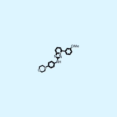 COc1cccc(-c2cccc3nc(Nc4ccc(N5CCOCC5)cc4)nn23)c1